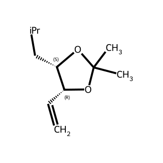 C=C[C@H]1OC(C)(C)O[C@H]1CC(C)C